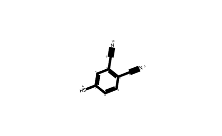 N#Cc1ccc(S)cc1C#N